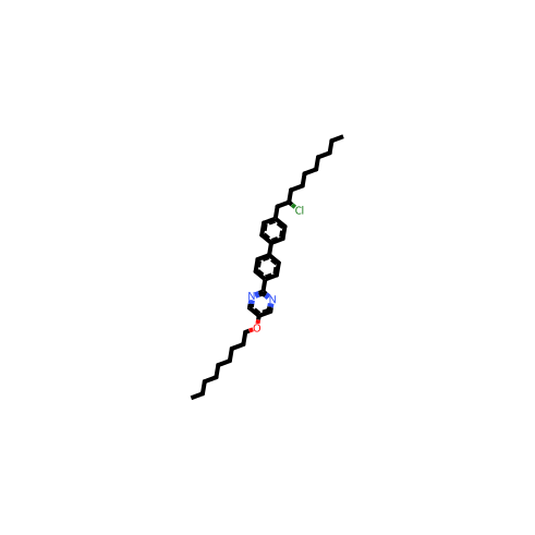 CCCCCCCCCOc1cnc(-c2ccc(-c3ccc(CC(Cl)CCCCCCCC)cc3)cc2)nc1